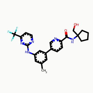 Cc1cc(Nc2nccc(C(F)(F)F)n2)cc(-c2ccc(C(=O)NC3(CO)CCCC3)nc2)c1